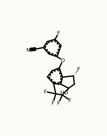 N#Cc1cc(F)cc(Oc2ccc3c4c2[C@H](F)CC4(O)C(F)(F)C3(F)F)c1